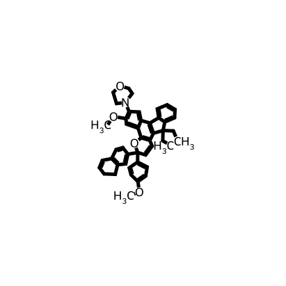 CCC1(CC)c2ccccc2-c2c1c1c(c3cc(OC)c(N4CCOCC4)cc23)OC(c2ccc(OC)cc2)(c2ccc3c(c2)CCC=C3)C=C1